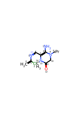 C=C(Cl)/N=C\C1=C(N)N(C(C)C)CC(=O)N1C